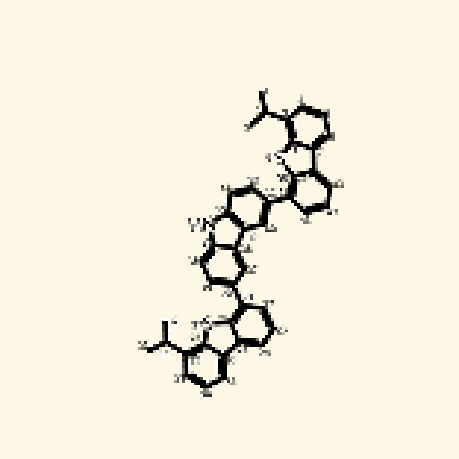 CC(C)c1cccc2c1sc1c(-c3ccc4[nH]c5ccc(-c6cccc7c6sc6c(C(C)C)cccc67)cc5c4c3)cccc12